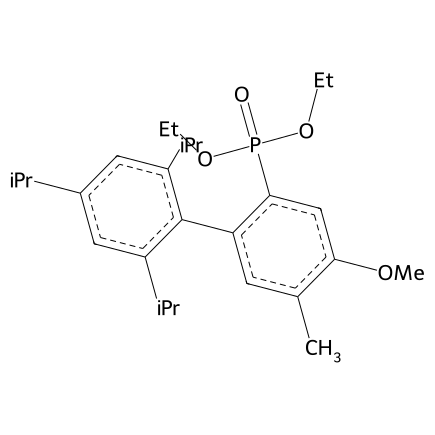 CCOP(=O)(OCC)c1cc(OC)c(C)cc1-c1c(C(C)C)cc(C(C)C)cc1C(C)C